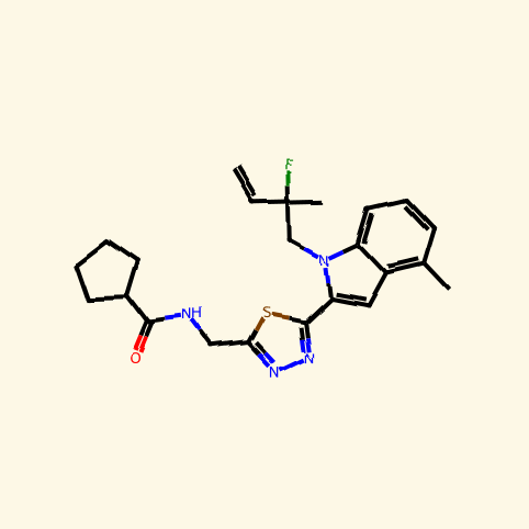 C=CC(C)(F)Cn1c(-c2nnc(CNC(=O)C3CCCC3)s2)cc2c(C)cccc21